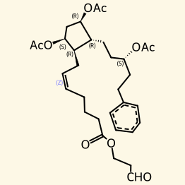 CC(=O)O[C@H](CCc1ccccc1)CC[C@@H]1[C@@H](C/C=C\CCCC(=O)OCCC=O)[C@@H](OC(C)=O)C[C@H]1OC(C)=O